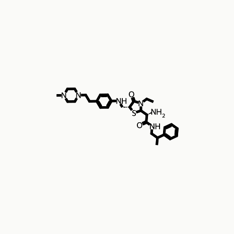 CCN1C(=O)[C@@H](CNc2ccc(CCN3CCN(C)CC3)cc2)SC1[C@H](N)C(=O)NCC(C)c1ccccc1